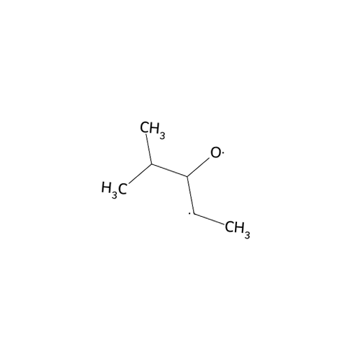 C[CH]C([O])C(C)C